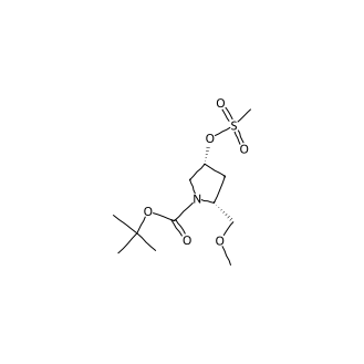 COC[C@H]1C[C@@H](OS(C)(=O)=O)CN1C(=O)OC(C)(C)C